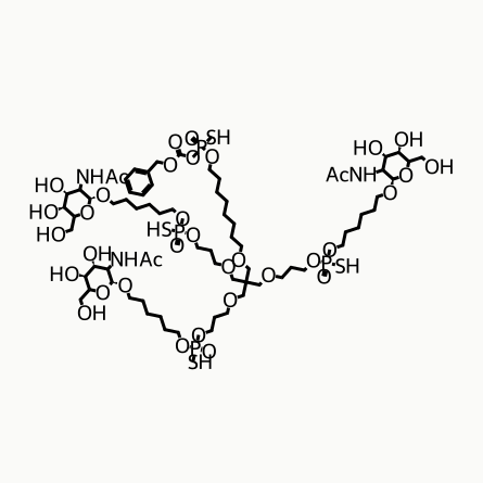 CC(=O)NC1[C@H](OCCCCCCOP(=O)(S)OCCCOCC(COCCCCCCCCOP(=O)(S)OC(=O)OCc2ccccc2)(COCCCOP(=O)(S)OCCCCCCO[C@@H]2OC(CO)[C@@H](O)[C@H](O)C2NC(C)=O)COCCCOP(=O)(S)OCCCCCCO[C@@H]2OC(CO)[C@H](O)[C@H](O)C2NC(C)=O)OC(CO)[C@@H](O)[C@@H]1O